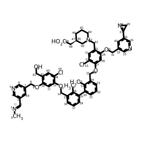 C/N=C/c1cncc(COc2cc(OCc3cccc(-c4cccc(COc5cc(OCc6cncc(C7=NC7)c6)c(CN6CCC[C@H](CC(=O)O)C6)cc5Cl)c4C)c3C)c(Cl)cc2CO)c1